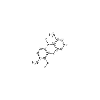 CCc1c(N)cccc1Cc1cccc(N)c1CC